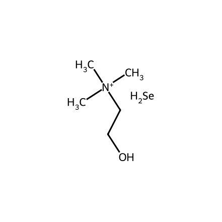 C[N+](C)(C)CCO.[SeH2]